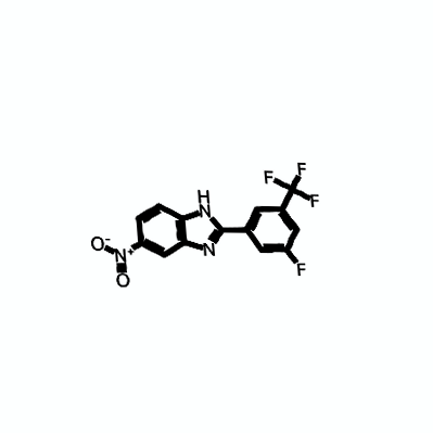 O=[N+]([O-])c1ccc2[nH]c(-c3cc(F)cc(C(F)(F)F)c3)nc2c1